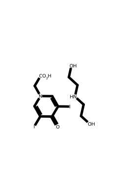 O=C(O)Cn1cc(I)c(=O)c(I)c1.OCCNCCO